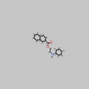 CN(CCOC(=O)c1ccc2ccccc2c1)c1ccccc1